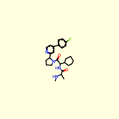 CNC(C)C(=O)NC(C(=O)N1CCCC1c1cc(-c2ccc(F)cc2)ccn1)C1CCCCC1